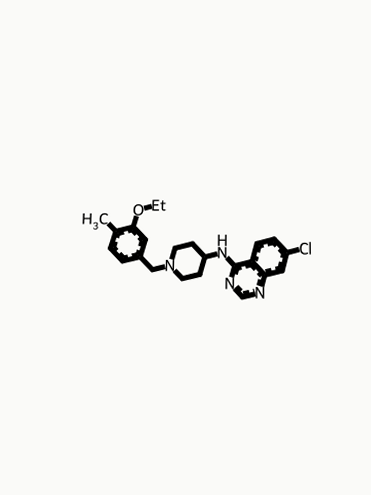 CCOc1cc(CN2CCC(Nc3ncnc4cc(Cl)ccc34)CC2)ccc1C